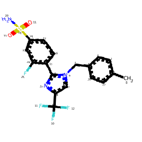 Cc1ccc(Cn2cc(C(F)(F)F)nc2-c2ccc(S(N)(=O)=O)cc2F)cc1